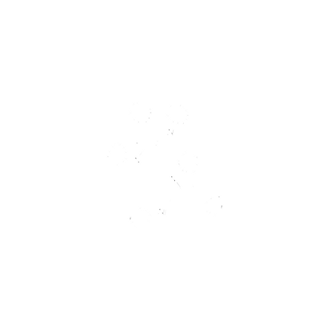 CC1(Cc2ccccc2)C(C=CNc2ccccc2)=[N+](CCC[N+]2=C(C=CNc3ccccc3)C(C)(Cc3ccccc3)c3ccccc32)c2ccccc21